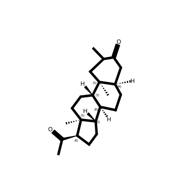 CC(=O)[C@@H]1CC[C@H]2[C@@H]3CC[C@@H]4CC(=O)C(C)C[C@]4(C)[C@H]3CC[C@]12C